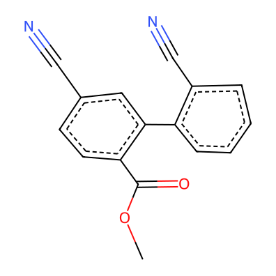 COC(=O)c1ccc(C#N)cc1-c1ccccc1C#N